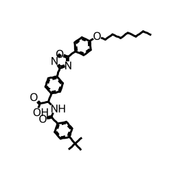 CCCCCCCOc1ccc(-c2nc(-c3ccc(C(NC(=O)c4ccc(C(C)(C)C)cc4)C(=O)O)cc3)no2)cc1